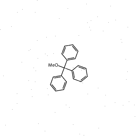 [CH2]OC(c1ccccc1)(c1ccccc1)c1ccccc1